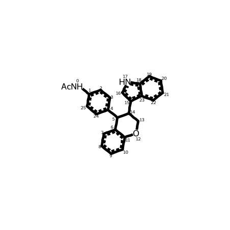 CC(=O)Nc1ccc(C2c3ccccc3OCC2c2c[nH]c3ccccc23)cc1